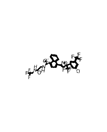 O=C(CN[S+]([O-])c1ccc(C2=NOC(c3cc(Cl)cc(C(F)(F)F)c3)(C(F)(F)F)C2)c2ccccc12)NCC(F)(F)F